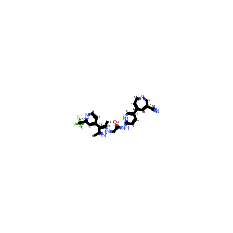 Cc1nn(CC(=O)Nc2ccc(C3=CC=NCC(C#N)=C3)cn2)c(C)c1-c1ccnc(C(F)(F)F)c1